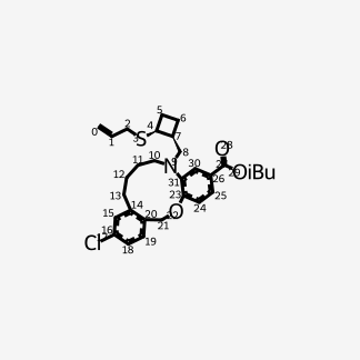 C=CCS[C@H]1CC[C@H]1CN1CCCCc2cc(Cl)ccc2COc2ccc(C(=O)OCC(C)C)cc21